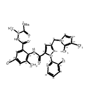 COC(=O)N(C)NC(=O)c1cc(Cl)cc(C)c1NC(=O)c1cc(Cn2cnc(C(F)(F)F)c2C(F)(F)F)nn1-c1ncccc1Cl